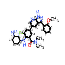 COc1ccccc1-c1n[nH]c2ncc(-c3cc(F)c(NC4CCCC(N)C4)c(C(=O)N(C)C)c3)cc12